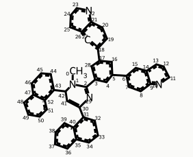 CN1C(c2cc(-c3ccc4ncccc4c3)cc(-c3ccc4ncccc4c3)c2)=NC(c2cccc3ccccc23)=CC1c1cccc2ccccc12